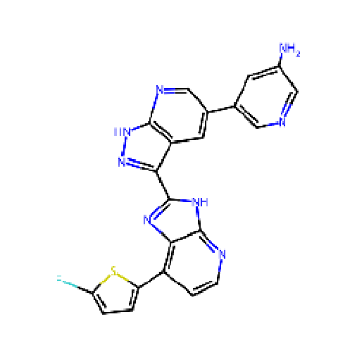 Nc1cncc(-c2cnc3[nH]nc(-c4nc5c(-c6ccc(F)s6)ccnc5[nH]4)c3c2)c1